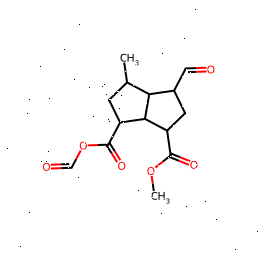 COC(=O)C1CC(C=O)C2C(C)CC(C(=O)OC=O)C12